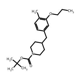 CCCOc1cc(CC2CCN(C(=O)OC(C)(C)C)CC2)ccc1C